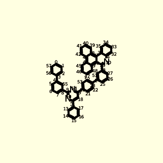 c1ccc(-c2cccc(-c3nc(-c4ccccc4)cc(-c4ccc(-c5cccc(-c6nc7ccccc7c7c8ccccc8c8ccccc8c67)c5)cc4)n3)c2)cc1